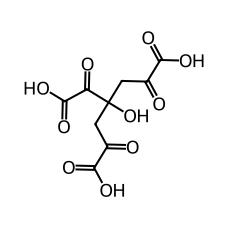 O=C(O)C(=O)CC(O)(CC(=O)C(=O)O)C(=O)C(=O)O